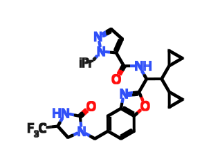 CC(C)n1nccc1C(=O)NC(c1nc2cc(CN3CC(C(F)(F)F)NC3=O)ccc2o1)C(C1CC1)C1CC1